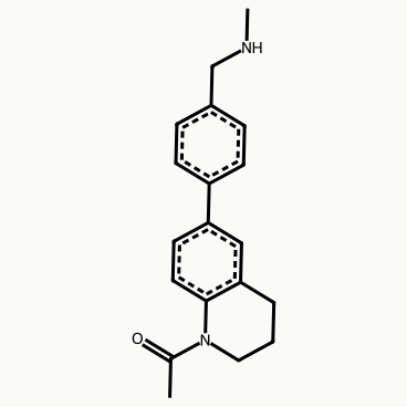 CNCc1ccc(-c2ccc3c(c2)CCCN3C(C)=O)cc1